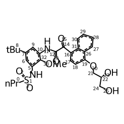 CCCS(=O)(=O)Nc1cc(C(C)(C)C)cc(NC(=O)C(=O)c2ccc(OC[C@@H](O)CO)c3ccccc23)c1OC